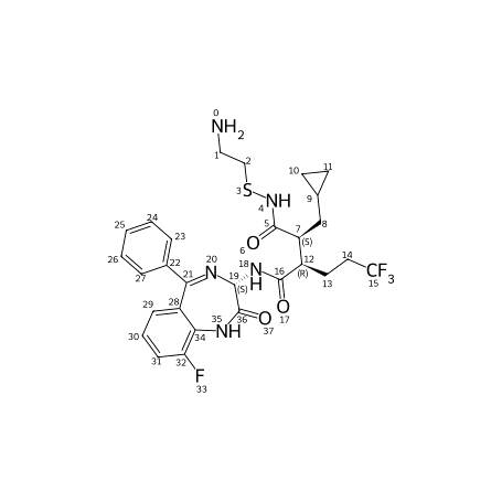 NCCSNC(=O)[C@@H](CC1CC1)[C@@H](CCC(F)(F)F)C(=O)N[C@H]1N=C(c2ccccc2)c2cccc(F)c2NC1=O